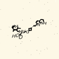 Cc1ccnc(C)c1CN[C@@H](CCO[C@H]1C[C@@H](CCc2ccc3c(n2)NCCC3)C1)C(=O)O